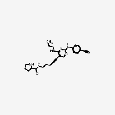 CCCNc1nc(Nc2ccc(C#N)cc2)ncc1C#CCCCNC(=O)C1CCCN1